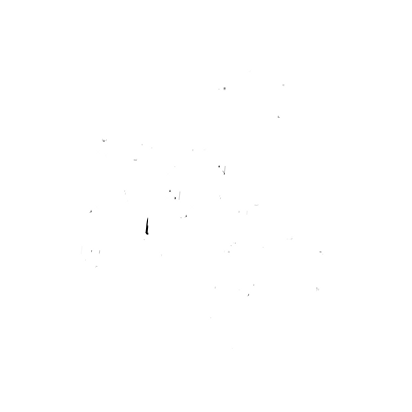 CC(C)(C)Oc1ccc(C[C@H](NC(=O)[C@H](Cc2ccccc2)NC(=O)OCc2ccccc2)C(=O)C=O)cc1.O